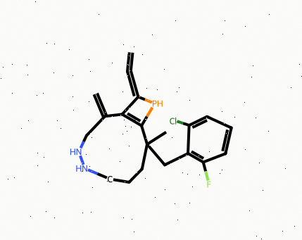 C=C=C1PC2=C1C(=C)CNNCCCC2(C)Cc1c(F)cccc1Cl